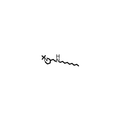 CCCCCCCCCNCCC1CCCN(C(C)(C)C)C1